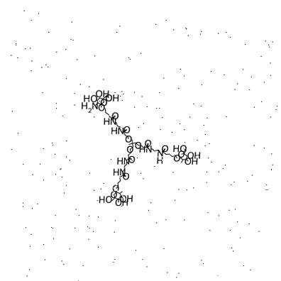 CC1C(OCCCCC(=O)NCCCNC(=O)CCOCC(C)(COCCC(=O)NCCCNC(=O)CCCCOC2OC(CO)C(O)C(O)C2C)COCCC(=O)NCCCNC(=O)CCCCOC2OC(CO)C(O)C(O)C2N)OC(CO)C(O)C1O